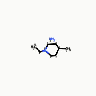 CCN1CCC(C)CC1.N